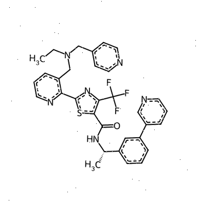 CCN(Cc1ccncc1)Cc1cccnc1-c1nc(C(F)(F)F)c(C(=O)N[C@@H](C)c2cccc(-c3cccnc3)c2)s1